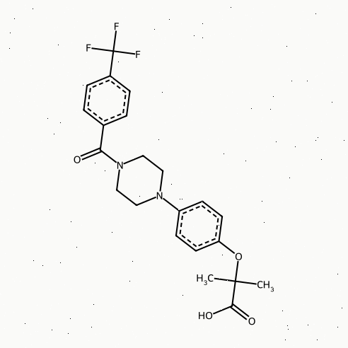 CC(C)(Oc1ccc(N2CCN(C(=O)c3ccc(C(F)(F)F)cc3)CC2)cc1)C(=O)O